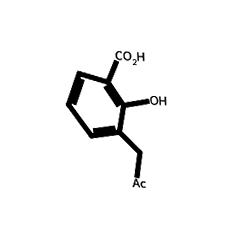 CC(=O)Cc1cccc(C(=O)O)c1O